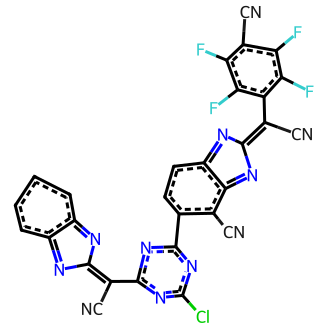 N#CC(=C1N=c2ccccc2=N1)c1nc(Cl)nc(-c2ccc3c(c2C#N)=N/C(=C(\C#N)c2c(F)c(F)c(C#N)c(F)c2F)N=3)n1